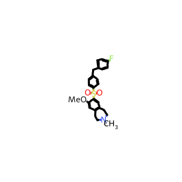 COc1cc2c(cc1S(=O)(=O)c1ccc(Cc3ccc(F)cc3)cc1)CCN(C)CC2